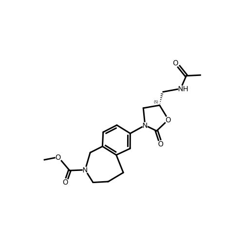 COC(=O)N1CCCc2cc(N3C[C@H](CNC(C)=O)OC3=O)ccc2C1